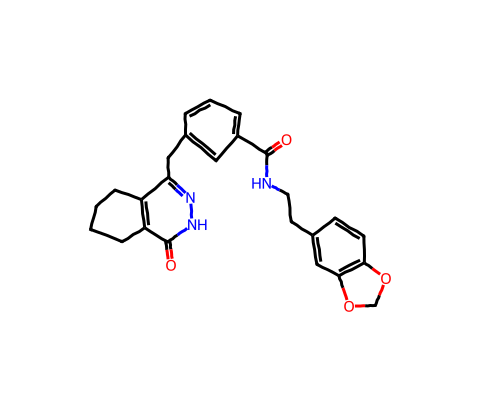 O=C(NCCc1ccc2c(c1)OCO2)c1cccc(Cc2n[nH]c(=O)c3c2CCCC3)c1